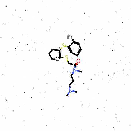 CC(C)c1ccccc1S[C@@H]1CCCC[C@H]1SCC(=O)N(C)CCCN(C)C